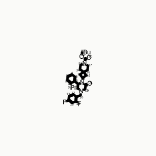 CC(C)c1ccccc1C1CN(Cc2ccc(F)cc2F)CC(=O)N1C1CC2(CCN(C(=O)OC(C)(C)C)CC2)C1